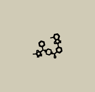 Cc1nnc([C@@H](c2ccccc2)N2CCN(C(=O)c3cccc(-c4nc5cccc(C)c5o4)c3)CC2)o1